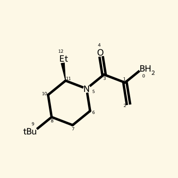 BC(=C)C(=O)N1CCC(C(C)(C)C)C[C@H]1CC